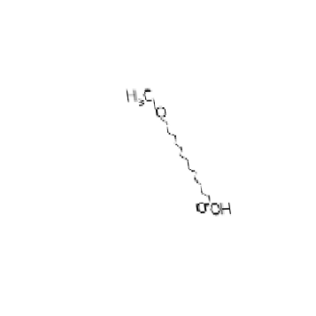 CCCOCCCCCCCCCCCCCCC(=O)O